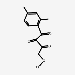 CCOCC(=O)C(=O)C(=O)c1ccc(C)cc1C